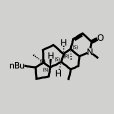 CCCCC1CC[C@H]2[C@@H]3C(C)CC4N(C)C(=O)C=C[C@]4(C)[C@@H]3CC[C@]12C